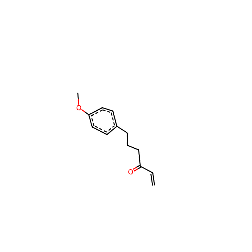 C=CC(=O)CCCc1ccc(OC)cc1